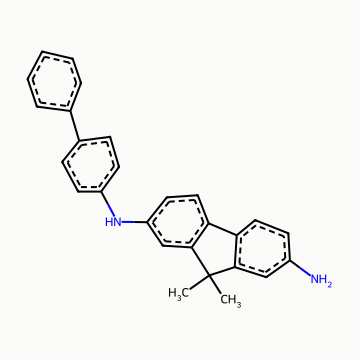 CC1(C)c2cc(N)ccc2-c2ccc(Nc3ccc(-c4ccccc4)cc3)cc21